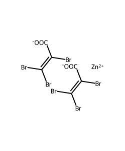 O=C([O-])C(Br)=C(Br)Br.O=C([O-])C(Br)=C(Br)Br.[Zn+2]